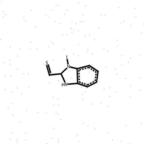 S=CC1Nc2ccccc2N1I